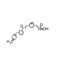 CN1CCN(Cc2cccc(C(=O)C=Cc3ccc(C=CC(=O)NO)nc3)c2)CC1